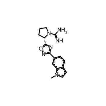 Cn1ccc2ccc(-c3noc([C@@H]4CCCN4C(=N)N)n3)cc21